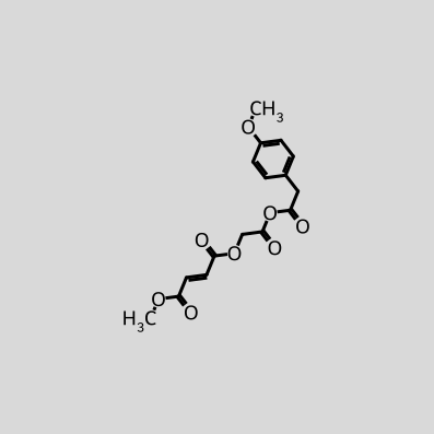 COC(=O)C=CC(=O)OCC(=O)OC(=O)Cc1ccc(OC)cc1